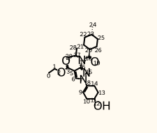 CCOC(=O)c1cn(C2=CCC(O)CC2)nc1N(C(=O)[C@H]1CC[C@H](C)CC1)C(C)C